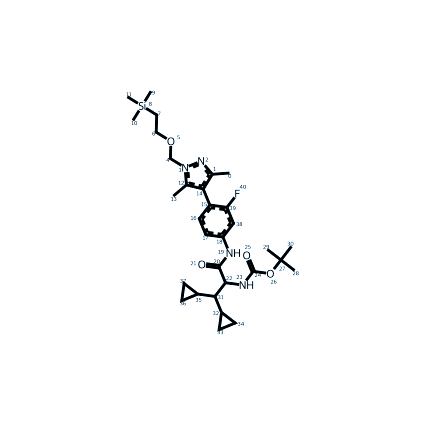 Cc1nn(COCC[Si](C)(C)C)c(C)c1-c1ccc(NC(=O)C(NC(=O)OC(C)(C)C)C(C2CC2)C2CC2)cc1F